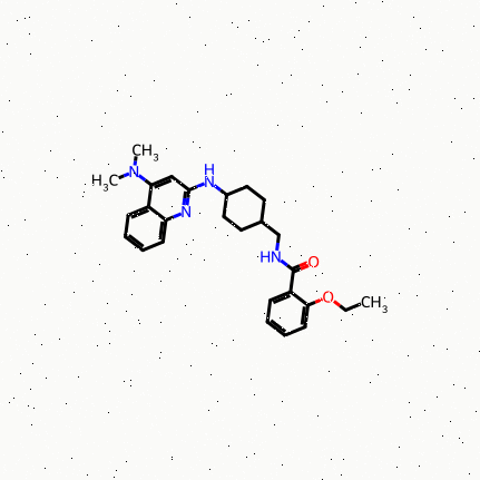 CCOc1ccccc1C(=O)NCC1CCC(Nc2cc(N(C)C)c3ccccc3n2)CC1